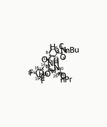 CCCCN(C)C(=O)c1cccc(C(=O)N[C@@H](Cc2cc(F)cc(F)c2)[C@H](O)[C@H]2C[C@@H](OCCC)CN2)c1